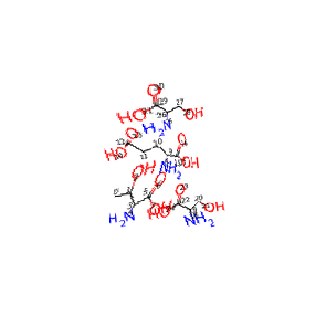 CC(O)C(N)C(=O)O.NC(CCC(=O)O)C(=O)O.NC(CO)C(=O)O.NC(CO)C(=O)O